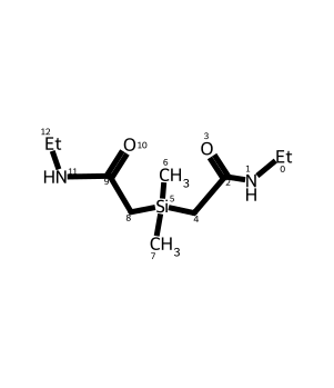 CCNC(=O)C[Si](C)(C)CC(=O)NCC